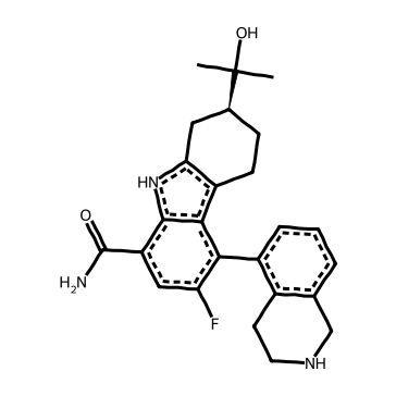 CC(C)(O)[C@H]1CCc2c([nH]c3c(C(N)=O)cc(F)c(-c4cccc5c4CCNC5)c23)C1